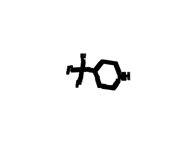 FC(F)(F)[C]1CCNCC1